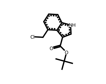 CC(C)(C)OC(=O)c1c[nH]c2cccc(CCl)c12